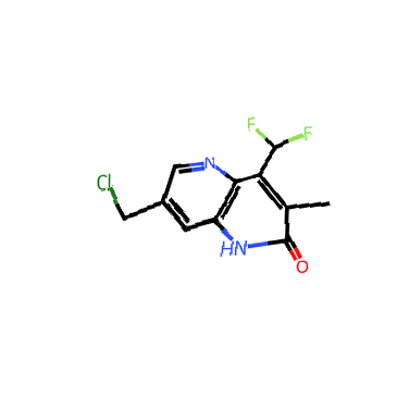 Cc1c(C(F)F)c2ncc(CCl)cc2[nH]c1=O